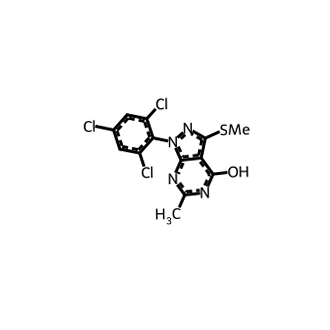 CSc1nn(-c2c(Cl)cc(Cl)cc2Cl)c2nc(C)nc(O)c12